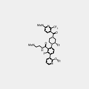 CCOc1ncccc1-c1ccc(N2CCN(C(=O)c3ccc(NC)nc3C(F)(F)F)C[C@H]2CC)c(C(=O)NCCNC)c1F